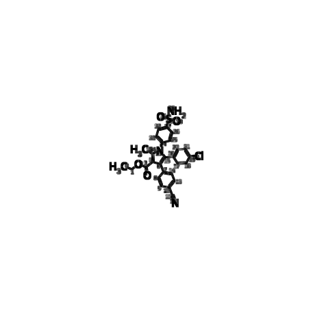 CCOC(=O)c1c(-c2ccc(C#N)cc2)c(-c2ccc(Cl)cc2)n(-c2ccc(S(N)(=O)=O)cc2)c1C